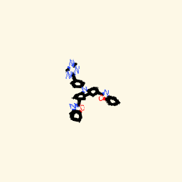 c1ccc2oc(-c3ccc4c(c3)c3cc(-c5nc6ccccc6o5)ccc3n4-c3ccc(-c4ncncn4)cc3)nc2c1